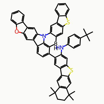 CC(C)(C)c1ccc(Nc2cc3sc4cc5c(cc4c3cc2-c2ccc3c4cc6oc7ccccc7c6cc4n4c3c2Bc2cc3sc6ccccc6c3cc2-4)C(C)(C)CCC5(C)C)cc1